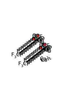 O=S(=O)([O-])C(F)(F)C(F)(C(F)(F)C(F)(F)C(F)(F)C(F)(F)C(F)(F)C(F)(F)C(F)(F)C(F)(F)C(F)(F)C(F)(F)F)S(=O)(=O)[O-].O=S(=O)([O-])C(F)(F)C(F)(C(F)(F)C(F)(F)C(F)(F)C(F)(F)C(F)(F)C(F)(F)C(F)(F)C(F)(F)C(F)(F)C(F)(F)F)S(=O)(=O)[O-].[Ca+2].[Ca+2]